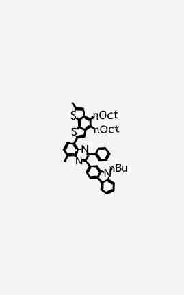 CCCCCCCCc1c(CCCCCCCC)c2cc(-c3ccc(C)c4nc(-c5ccc6c7ccccc7n(CCCC)c6c5)c(-c5ccccc5)nc34)sc2c2sc(C)cc12